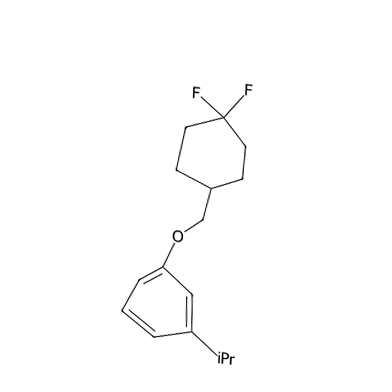 CC(C)c1cccc(OCC2CCC(F)(F)CC2)c1